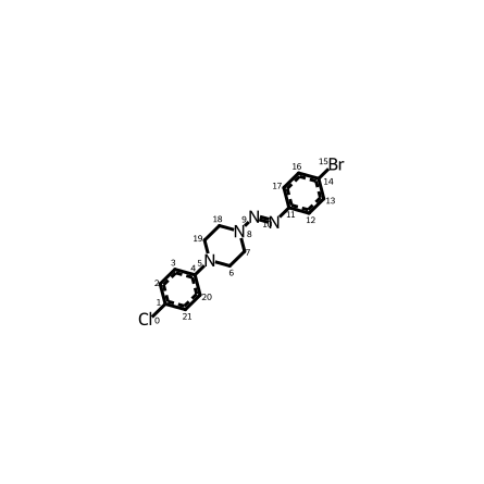 Clc1ccc(N2CCN(/N=N/c3ccc(Br)cc3)CC2)cc1